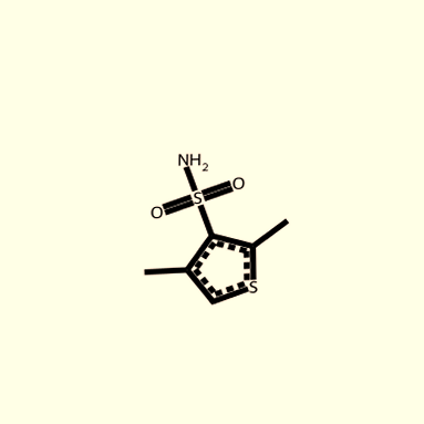 Cc1csc(C)c1S(N)(=O)=O